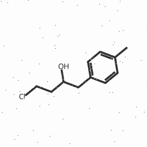 Cc1ccc(CC(O)CCCl)cc1